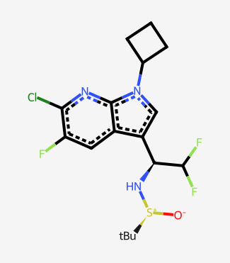 CC(C)(C)[S@+]([O-])N[C@@H](c1cn(C2CCC2)c2nc(Cl)c(F)cc12)C(F)F